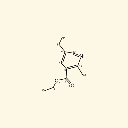 CCOC(=O)c1cc(CC)cnc1C